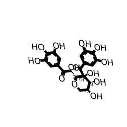 O=C(c1cc(O)c(O)c(O)c1)C(O)[C@H]1OC[C@H](O)[C@@H](O)[C@@]1(O)C(=O)c1cc(O)c(O)c(O)c1